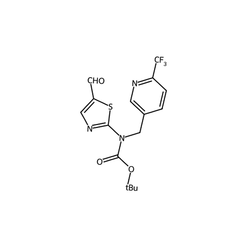 CC(C)(C)OC(=O)N(Cc1ccc(C(F)(F)F)nc1)c1ncc(C=O)s1